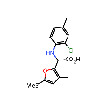 CSc1cc(C)c(C(Nc2ccc(C)cc2Cl)C(=O)O)o1